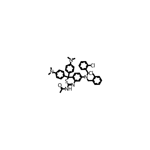 CC(=O)NC1=Nc2cc(N(Cc3ccccc3Cl)Cc3ccccc3Cl)ccc2C(c2ccc(N(C)C)cc2)(c2ccc(N(C)C)cc2)S1